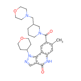 Cc1cc2[nH]c(=O)c3cnn(C4CCOCC4)c3c2cc1C(=O)N1CCCC(CN2CCOCC2)C1